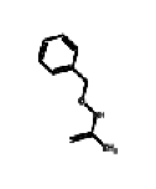 CC(=S)NOCc1ccccc1